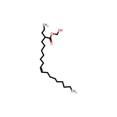 CCCCCCCC/C=C\CCCCCCC(CCC)C(=O)OCO